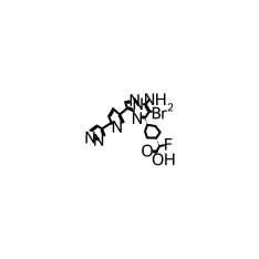 Nc1c(Br)c([C@H]2CC[C@@H](C(F)C(=O)O)CC2)nc2c(-c3ccc(-c4ccnnc4)nc3)cnn12